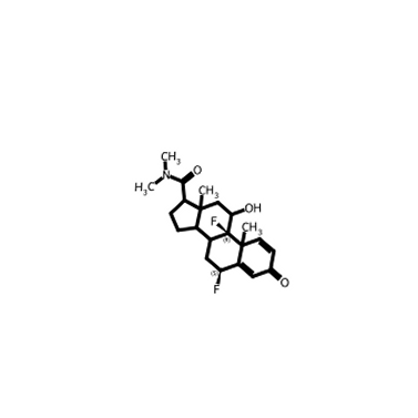 CN(C)C(=O)C1CCC2C3C[C@H](F)C4=CC(=O)C=CC4(C)[C@@]3(F)C(O)CC12C